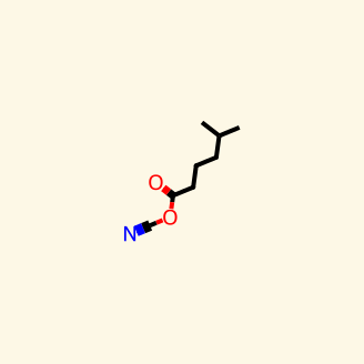 CC(C)CCCC(=O)OC#N